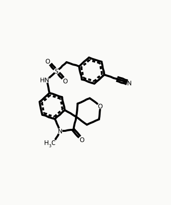 CN1C(=O)C2(CCOCC2)c2cc(NS(=O)(=O)Cc3ccc(C#N)cc3)ccc21